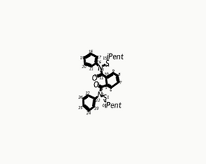 CCCC(C)SN(C(=O)c1ccccc1C(=O)N(SC(C)CCC)c1ccccc1)c1ccccc1